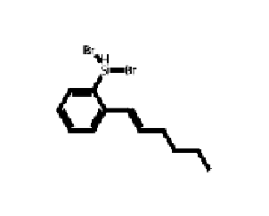 CCCCC=Cc1ccccc1[SiH](Br)Br